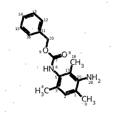 Cc1cc(C)c(NC(=O)OCc2ccccc2)c(C)c1N